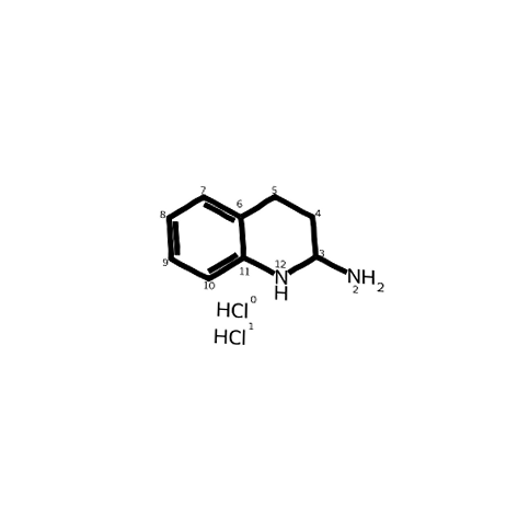 Cl.Cl.NC1CCc2ccccc2N1